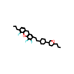 CCCc1ccc2c(c1F)Oc1c(cc(CCC3CCC(C4CCC(CCC)OC4)CC3)c(F)c1F)C2